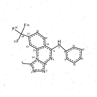 Cc1nnc2nc(Nc3ccccc3)c3ccc(C(F)(F)F)cc3n12